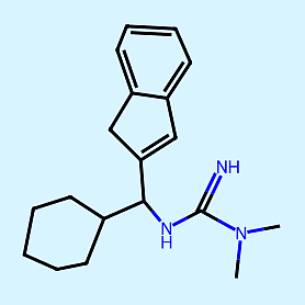 CN(C)C(=N)NC(C1=Cc2ccccc2C1)C1CCCCC1